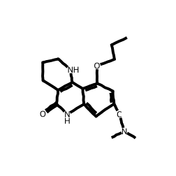 CCCOc1cc(CN(C)C)cc2[nH]c(=O)c3c(c12)NCCC3